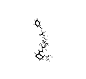 CC(C)Cc1ccccc1CCC(=O)NS(=O)(=O)CCNC(=O)NOCc1ccccc1